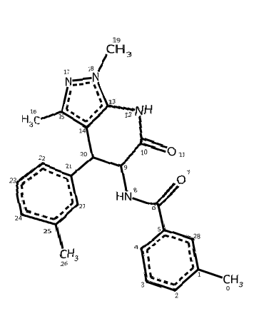 Cc1cccc(C(=O)NC2C(=O)Nc3c(c(C)nn3C)C2c2cccc(C)c2)c1